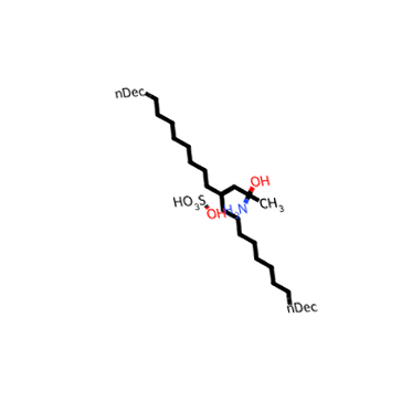 CCCCCCCCCCCCCCCCCCC(CCCCCCCCCCCCCCCCCC)CC(C)(N)O.O=S(=O)(O)O